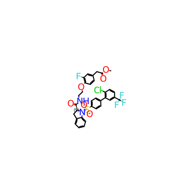 COC(=O)Cc1ccc(OCCNC(=O)[C@@H]2Cc3ccccc3N2S(=O)(=O)c2ccc(-c3cc(C(F)(F)F)ccc3Cl)cc2)c(F)c1